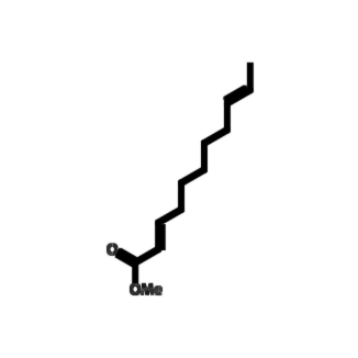 C/C=C/CCCCC/C=C/C(=O)OC